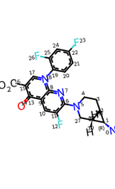 N[C@@H]1[C@H]2CCN(c3nc4c(cc3F)c(=O)c(C(=O)O)cn4-c3ccc(F)cc3F)C[C@@H]12